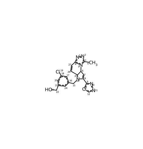 Cc1nnc2n1C1C=C(c3nnco3)N(Cc3cc(Cl)cc(CO)c3)C1C=C2